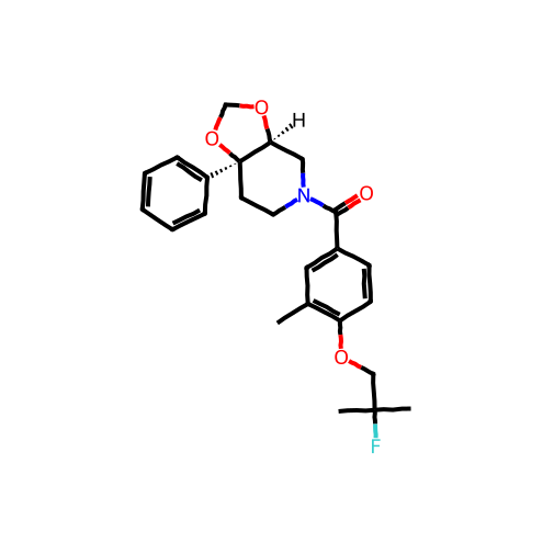 Cc1cc(C(=O)N2CC[C@@]3(c4ccccc4)OCO[C@H]3C2)ccc1OCC(C)(C)F